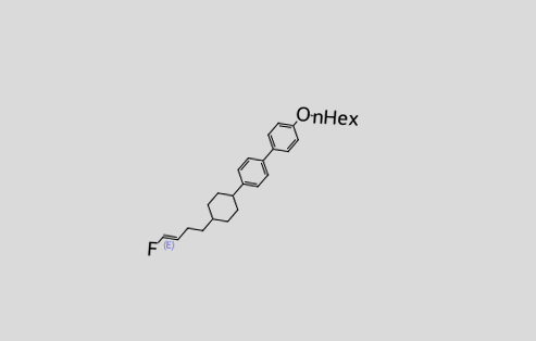 CCCCCCOc1ccc(-c2ccc(C3CCC(CC/C=C/F)CC3)cc2)cc1